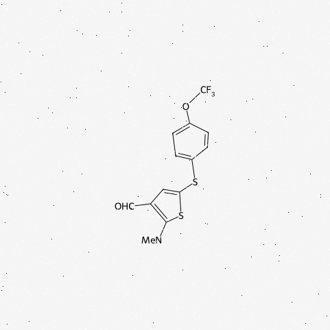 CNc1sc(Sc2ccc(OC(F)(F)F)cc2)cc1C=O